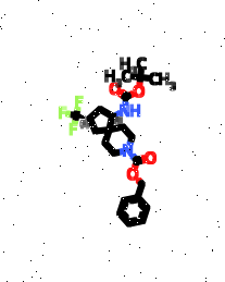 CC(C)(C)OC(=O)N[C@@H]1C[C@@H](C(F)(F)F)CC12CCN(C(=O)OCc1ccccc1)CC2